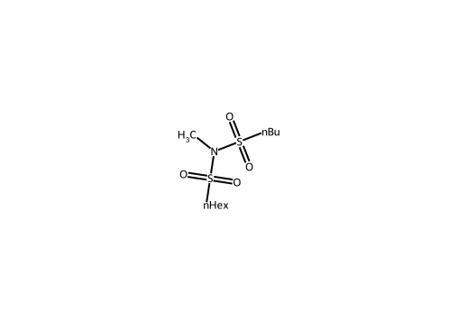 CCCCCCS(=O)(=O)N(C)S(=O)(=O)CCCC